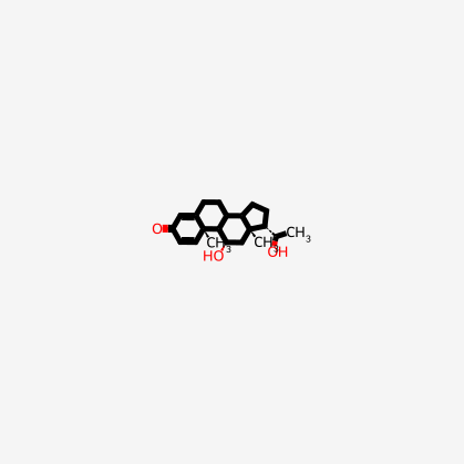 CC(O)[C@H]1CCC2C3CCC4=CC(=O)C=C[C@]4(C)C3[C@@H](O)C[C@@]21C